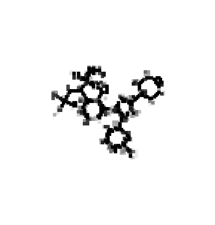 NS(=O)(=O)C(CC(F)(F)F)c1cccc(-c2nc(C3CCOCC3)sc2-c2ccnc(Cl)n2)c1Cl